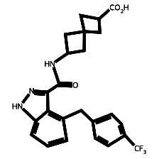 O=C(NC1CC2(C1)CC(C(=O)O)C2)c1n[nH]c2cccc(Cc3ccc(C(F)(F)F)cc3)c12